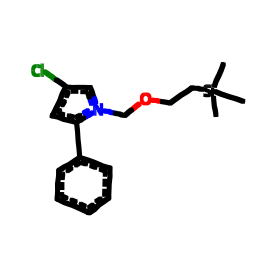 C[Si](C)(C)CCOCn1cc(Cl)cc1-c1ccccc1